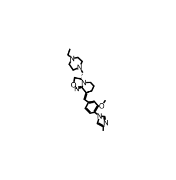 CCN1CCN(C[C@H]2CON=C3/C(=C/c4ccc(-n5cnc(C)c5)c(OC)c4)CCCN32)CC1